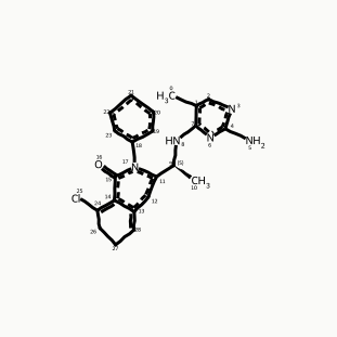 Cc1cnc(N)nc1N[C@@H](C)c1cc2c(c(=O)n1-c1ccccc1)=C(Cl)CCC=2